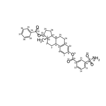 C[C@]12CCC3c4ccc(OC(=O)c5cccc(S(N)(=O)=O)c5)cc4CCC3C1CC[C@@H]2OC(=O)c1ccccc1